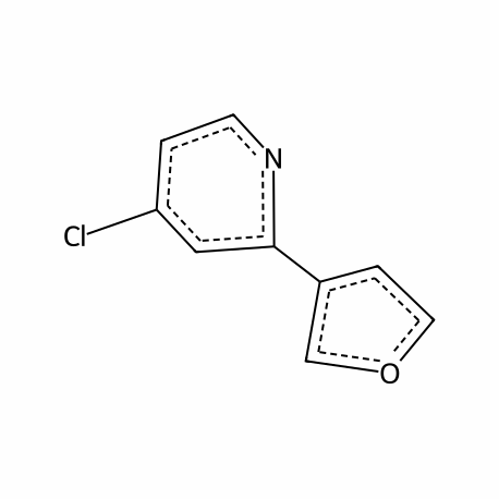 Clc1ccnc(-c2ccoc2)c1